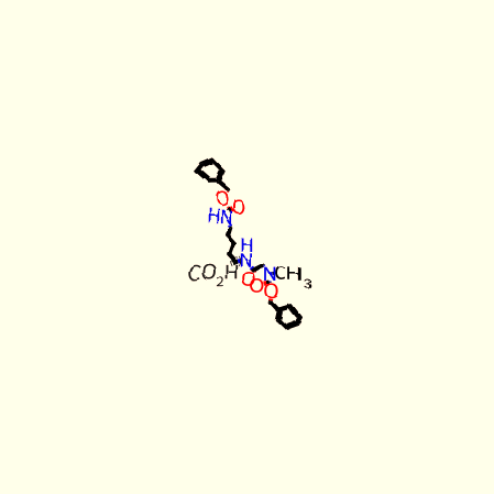 CN(CC(=O)N[C@@H](CCCCNC(=O)OCc1ccccc1)C(=O)O)C(=O)OCc1ccccc1